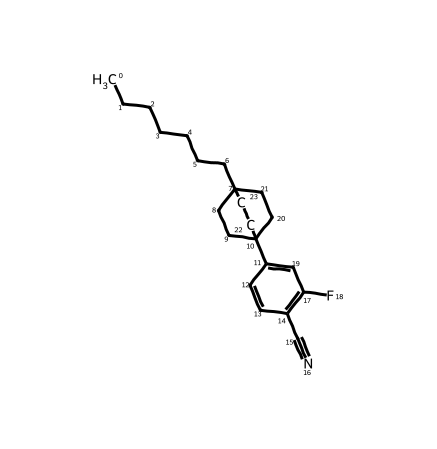 CCCCCCCC12CCC(c3ccc(C#N)c(F)c3)(CC1)CC2